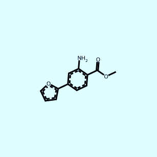 COC(=O)c1ccc(-c2ccco2)cc1N